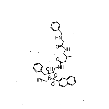 CC(C)CN(C(O)(CCNC(=O)CC(C)CNC(=O)CNCc1ccccc1)Cc1ccccc1)S(=O)(=O)c1ccc2ccccc2c1